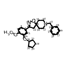 COc1ccc(C2=NOC3(CCN(Cc4ccccc4)CC3)C2)cc1OC1CCCC1